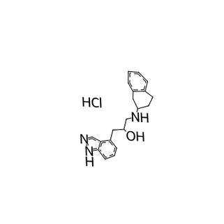 Cl.OC(CNC1CCc2ccccc2C1)Cc1cccc2[nH]ncc12